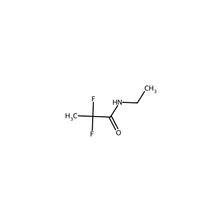 CCNC(=O)C(C)(F)F